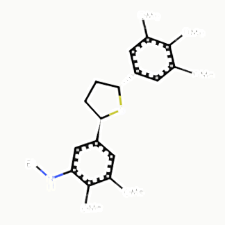 CCNc1cc([C@H]2CC[C@H](c3cc(OC)c(OC)c(OC)c3)S2)cc(OC)c1OC